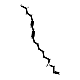 C=CCOCCCCCCC#CC#CCCCC